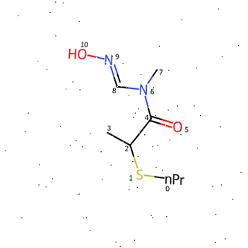 CCCSC(C)C(=O)N(C)C=NO